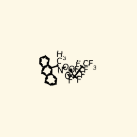 C/C(=N\OS(=O)(=O)C(F)(F)C(F)(F)C(F)(F)C(F)(F)F)c1c2ccccc2cc2ccccc12